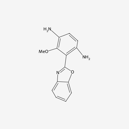 COc1c(N)ccc(N)c1-c1nc2ccccc2o1